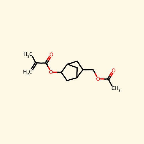 C=C(C)C(=O)OC1CC2CC1CC2COC(C)=O